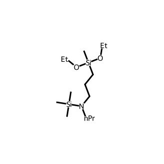 CCCN(CCC[Si](C)(OCC)OCC)[Si](C)(C)C